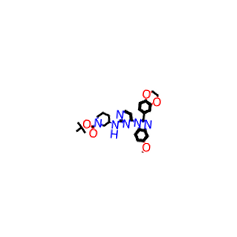 COc1ccc2c(c1)nc(-c1ccc3c(c1)OCCO3)n2-c1ccnc(N[C@H]2CCCN(C(=O)OC(C)(C)C)C2)n1